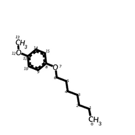 CCCCCCCOc1ccc(OC)cc1